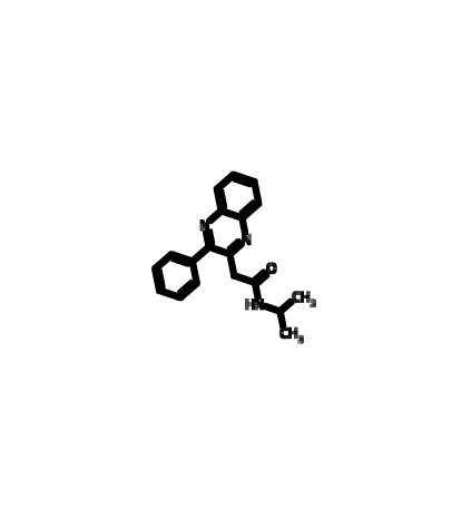 CC(C)NC(=O)Cc1nc2ccccc2nc1-c1ccccc1